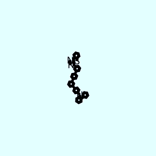 c1cc(-c2ccc(-c3cccc(-c4ncnc5c4sc4ccccc45)c3)cc2)cc(-c2ccc(-n3c4ccccc4c4ccccc43)cc2)c1